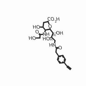 C#Cc1ccc(CC(=O)NC[C@@H](O)[C@@H](O)C2OC(C(=O)O)CC(O)C2NC(=O)CO)cc1